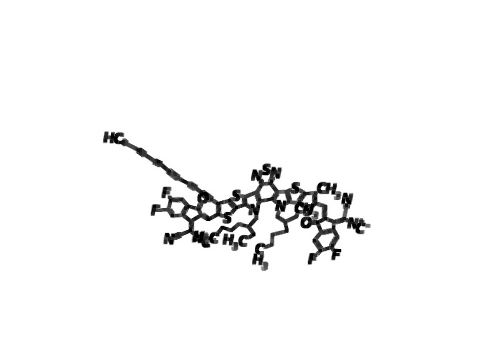 [C-]#[N+]/C(C#N)=C1\C(=C\c2sc3c(sc4c5c6nsnc6c6c7sc8c(C)c(/C=C9\C(=O)c%10cc(F)c(F)cc%10\C9=C(\C#N)[N+]#[C-])sc8c7n(CC(CC)CCCC)c6c5n(CC(CC)CCCC)c34)c2C#CC#CC#CC#CC#CC#C)C(=O)c2cc(F)c(F)cc21